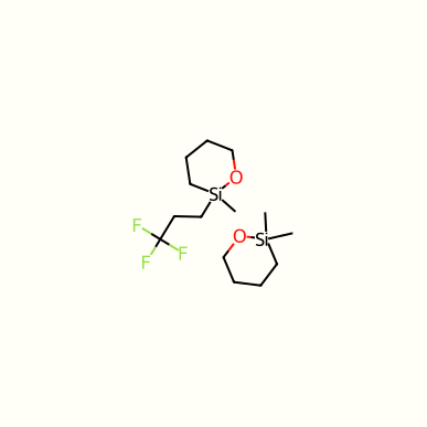 C[Si]1(C)CCCCO1.C[Si]1(CCC(F)(F)F)CCCCO1